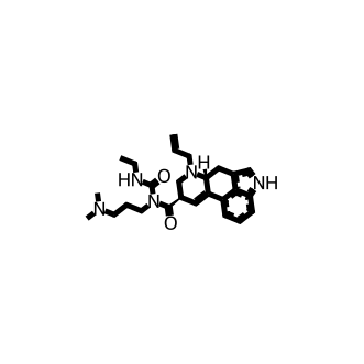 C=CCN1C[C@H](C(=O)N(CCCN(C)C)C(=O)NCC)C=C2c3cccc4[nH]cc(c34)C[C@H]21